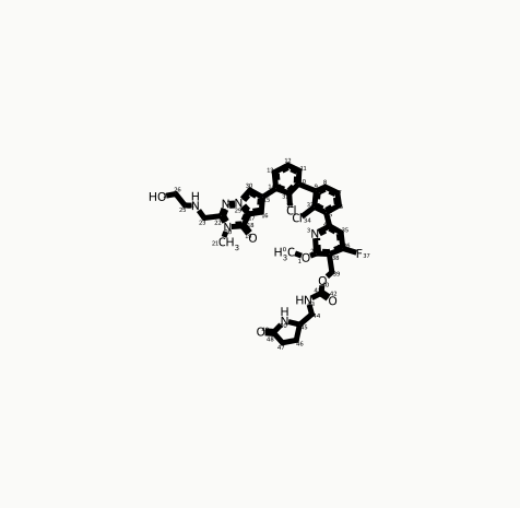 COc1nc(-c2cccc(-c3cccc(-c4cc5c(=O)n(C)c(CNCCO)nn5c4)c3Cl)c2Cl)cc(F)c1COC(=O)NCC1CCC(=O)N1